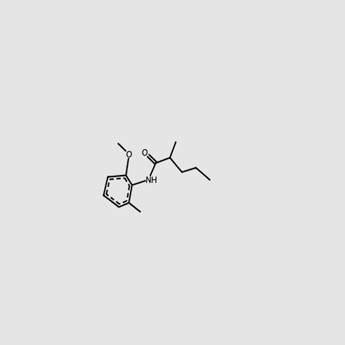 CCCC(C)C(=O)Nc1c(C)cccc1OC